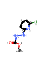 CC(C)(C)OC(=O)NNc1cccc(Cl)n1